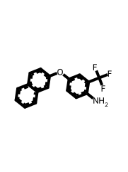 Nc1ccc(Oc2ccc3ccccc3c2)cc1C(F)(F)F